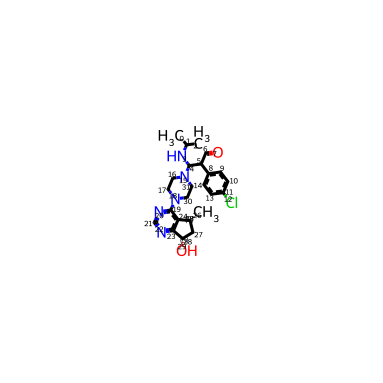 CC(C)NC(C(C=O)c1ccc(Cl)cc1)N1CCN(c2ncnc3c2[C@H](C)C[C@@H]3O)CC1